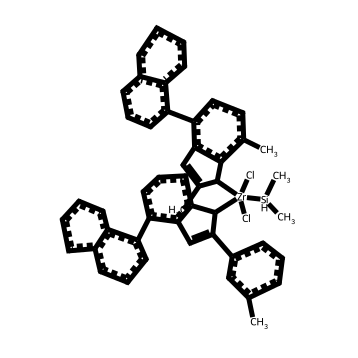 CC1=Cc2c(-c3cccc4ccccc34)ccc(C)c2[CH]1[Zr]([Cl])([Cl])([CH]1C(c2cccc(C)c2)=Cc2c(-c3cccc4ccccc34)cccc21)[SiH](C)C